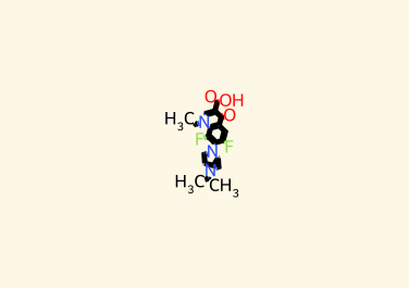 CCn1cc(C(=O)O)c(=O)c2cc(F)c(N3CC4CC3CN4C(C)C)c(F)c21